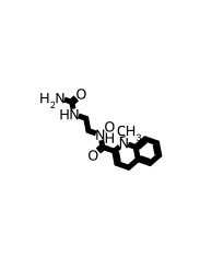 CN1C(C(=O)N(O)CCNC(N)=O)=CCc2ccccc21